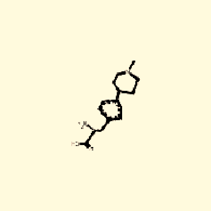 CN1CCC(c2ccc(C[C@H](N)C(=O)O)cc2)CC1